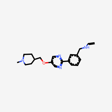 C=CNCc1cccc(-c2ncc(OCC3CCN(C)CC3)cn2)c1